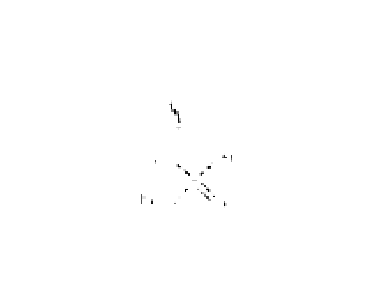 O=P(O)(O)F.[NaH].[O]=[V]